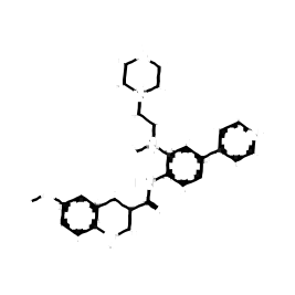 COc1ccc2c(c1)CC(C(=O)Nc1ccc(-c3ccncc3)cc1N(C)CCN1CCOCC1)CO2